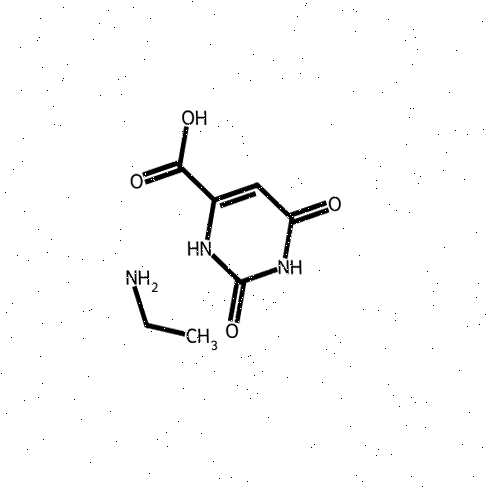 CCN.O=C(O)c1cc(=O)[nH]c(=O)[nH]1